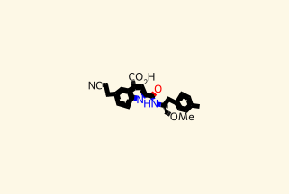 COC[C@H](Cc1ccc(C)cc1)NC(=O)c1cc(C(=O)O)c2cc(CCC#N)ccc2n1